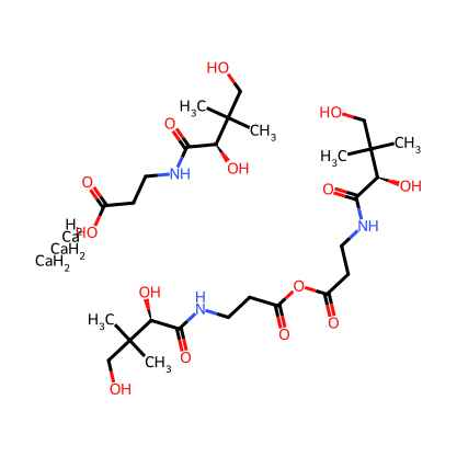 CC(C)(CO)[C@@H](O)C(=O)NCCC(=O)O.CC(C)(CO)[C@@H](O)C(=O)NCCC(=O)OC(=O)CCNC(=O)[C@H](O)C(C)(C)CO.[CaH2].[CaH2].[CaH2]